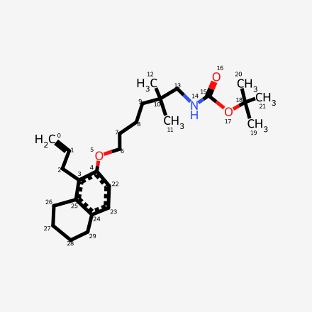 C=CCc1c(OCCCCC(C)(C)CNC(=O)OC(C)(C)C)ccc2c1CCCC2